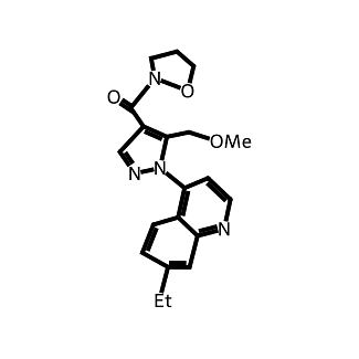 CCc1ccc2c(-n3ncc(C(=O)N4CCCO4)c3COC)ccnc2c1